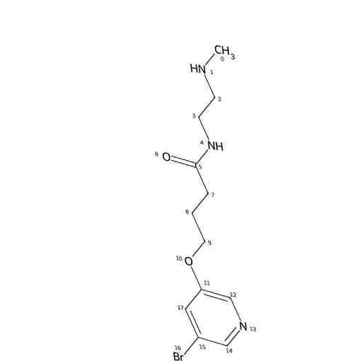 CNCCNC(=O)CCCOc1cncc(Br)c1